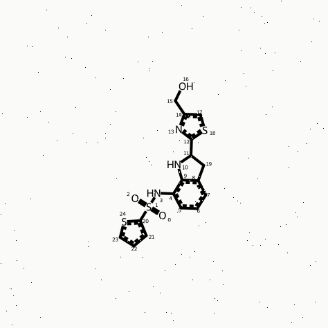 O=S(=O)(Nc1cccc2c1NC(c1nc(CO)cs1)C2)c1cccs1